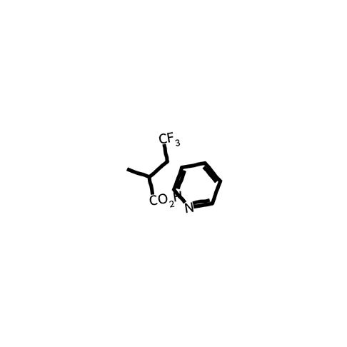 CC(CC(F)(F)F)C(=O)O.c1ccncc1